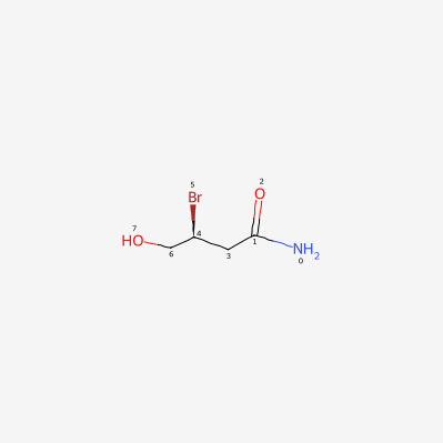 NC(=O)C[C@H](Br)CO